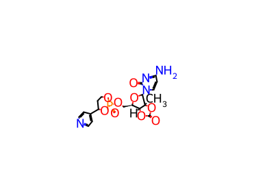 C[C@@]12OC(=O)O[C@@H]1[C@@H](COP1(=O)OCCC(c3ccncc3)O1)O[C@H]2n1ccc(N)nc1=O